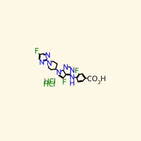 Cl.Cl.O=C(O)c1ccc(Nc2ncnc3c2c(F)cn3C2CCN(c3ncc(F)cn3)CC2)c(F)c1